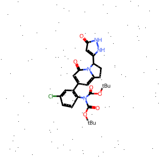 CC(C)(C)OC(=O)N(C(=O)OC(C)(C)C)c1ccc(Cl)cc1-c1cc2n(c(=O)c1)C(c1cc(=O)[nH][nH]1)CC2